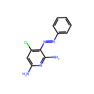 Nc1cc(Cl)c(N=Nc2ccccc2)c(N)n1